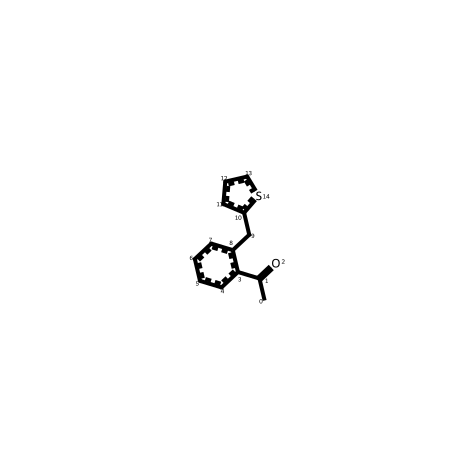 CC(=O)c1ccccc1Cc1cccs1